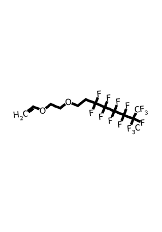 C=COCCOCCC(F)(F)C(F)(F)C(F)(F)C(F)(F)C(F)(C(F)(F)F)C(F)(F)F